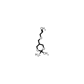 C=CCOCC1COC(C)(C)OC1